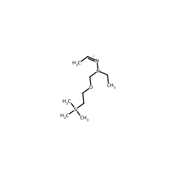 C/C=N\N(CC)COCC[Si](C)(C)C